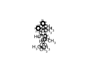 CC[C@@]1(CNC(=O)OC(C)(C)C)C[C@@H](CO[Si](c2ccccc2)(c2ccccc2)C(C)(C)C)N(C(=O)O)C1=O